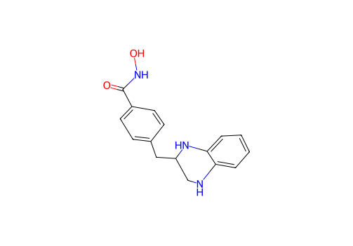 O=C(NO)c1ccc(CC2CNc3ccccc3N2)cc1